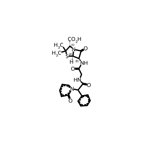 CC1(C)S[C@@H]2[C@H](NC(=O)CNC(=O)C(c3ccccc3)n3ccccc3=O)C(=O)N2[C@H]1C(=O)O